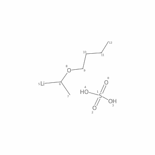 O=S(=O)(O)O.[Li][CH](C)OCCCC